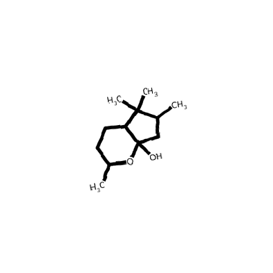 CC1CCC2C(O)(CC(C)C2(C)C)O1